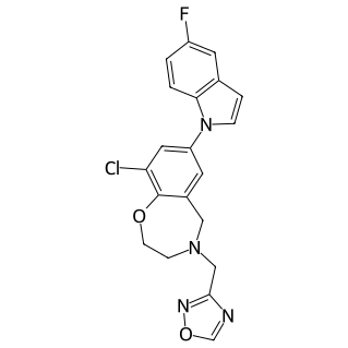 Fc1ccc2c(ccn2-c2cc(Cl)c3c(c2)CN(Cc2ncon2)CCO3)c1